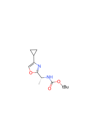 C[C@@H](NC(=O)OC(C)(C)C)c1nc(C2CC2)co1